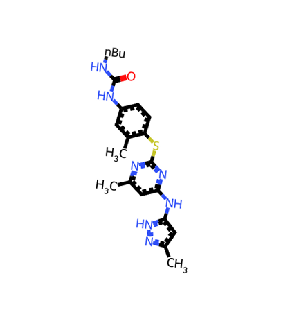 CCCCNC(=O)Nc1ccc(Sc2nc(C)cc(Nc3cc(C)n[nH]3)n2)c(C)c1